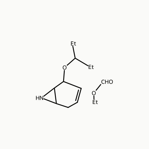 CCC(CC)OC1C=CCC2NC21.CCOC=O